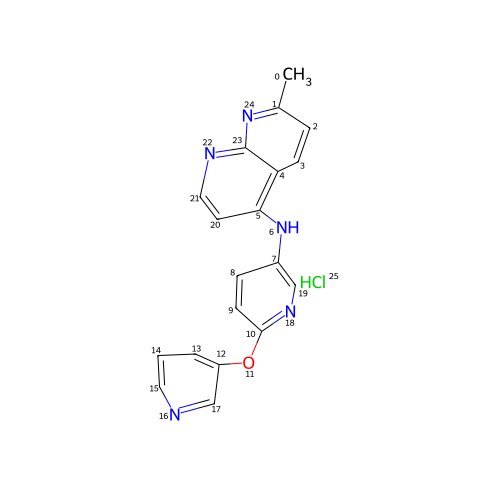 Cc1ccc2c(Nc3ccc(Oc4cccnc4)nc3)ccnc2n1.Cl